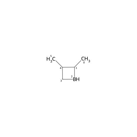 CC1BCC1C